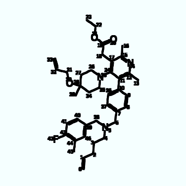 C=CCCCN(Cc1ccc(-c2c(C)nc(C)c(CC(=O)OCC)c2N2CCC(C)(OCC=C)CC2)cc1)Cc1ccc(F)c(C)c1